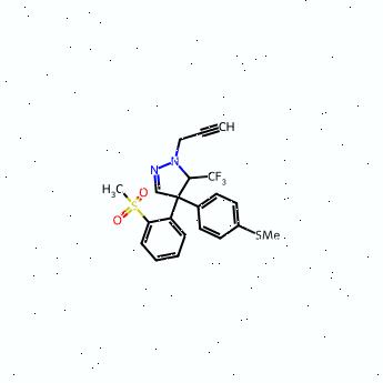 C#CCN1N=CC(c2ccc(SC)cc2)(c2ccccc2S(C)(=O)=O)C1C(F)(F)F